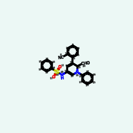 N#Cc1ccccc1C1=CC(NS(=O)(=O)c2ccccc2)=CN(c2ccccc2)C1C=O